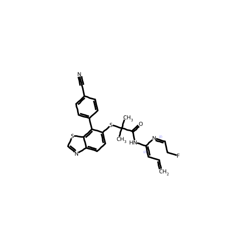 C=C/C=C(\N=C/CF)NC(=O)C(C)(C)Sc1ccc2ncsc2c1-c1ccc(C#N)cc1